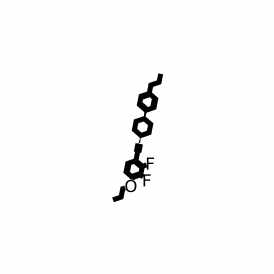 CCCOc1ccc(C#C[C@H]2CC[C@H](c3ccc(CCC)cc3)CC2)c(F)c1F